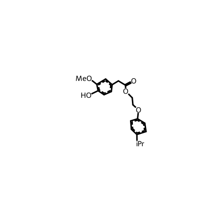 COc1cc(CC(=O)OCCOc2ccc(C(C)C)cc2)ccc1O